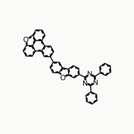 c1ccc(-c2nc(-c3ccccc3)nc(-c3ccc4c(c3)oc3ccc(-c5ccc6c(c5)c5cccc7oc8cccc6c8c75)cc34)n2)cc1